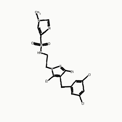 CCc1nn(CCNS(=O)(=O)c2cn(C)cn2)c(CC)c1Cc1cc(Cl)cc(Cl)c1